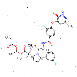 CCC(=O)OC(C)OC(=O)C(CC)(CC)[C@H]1CC[C@@H](c2cccc(F)c2)N1C(=O)[C@@H](C)NC(=O)c1ccc(Oc2cc(C)n[nH]c2=O)c(F)c1